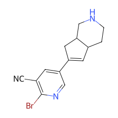 N#Cc1cc(C2=CC3CCNCC3C2)cnc1Br